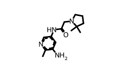 Cc1ncc(NC(=O)CN2CCCC2(C)C)cc1N